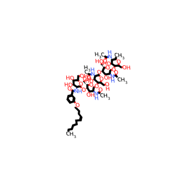 CCCCCC/C=C\CCCOc1cccc(C(=O)N[C@@H]2C(O[C@H]3C(O)C(NC(C)=O)C(OC4C(CO)O[C@@H](O[C@H]5C(O)C(NC(C)=O)C(OC6C(CO)OC(C)[C@@H](NC(C)=O)[C@H]6O)O[C@H]5CO)[C@@H](NC(C)=O)[C@H]4O)O[C@H]3CO)OC(CO)[C@@H](O)[C@@H]2O)c1